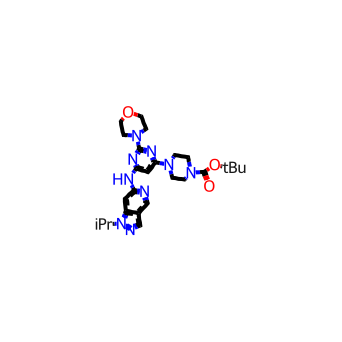 CC(C)n1ncc2cnc(Nc3cc(N4CCN(C(=O)OC(C)(C)C)CC4)nc(N4CCOCC4)n3)cc21